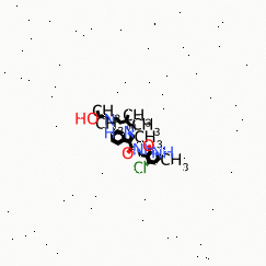 Cc1cc(Cl)c(CNC(=O)c2c(C)n([C@H](C)C(C)CCNCC(C)(C)O)c3ccccc23)c(=O)[nH]1